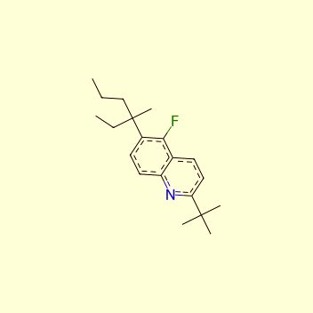 CCCC(C)(CC)c1ccc2nc(C(C)(C)C)ccc2c1F